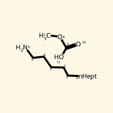 CCCCCCCCCCCCN.COC(=O)O